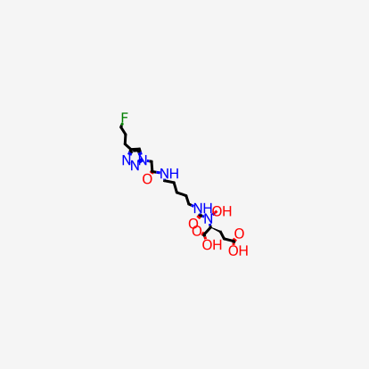 O=C(O)CC[C@@H](C(=O)O)N(O)C(=O)NCCCCCNC(=O)Cn1cc(CCCF)nn1